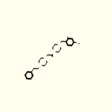 COc1ccc(CN2CCN(C(=O)CN3CCN(CCc4ccccc4)CC3)CC2)c(C)c1